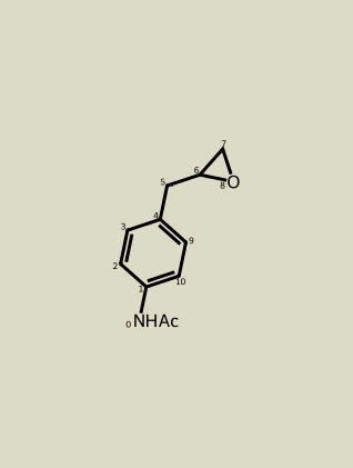 CC(=O)Nc1ccc([CH]C2CO2)cc1